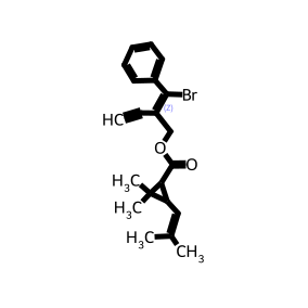 C#C/C(COC(=O)C1C(C=C(C)C)C1(C)C)=C(/Br)c1ccccc1